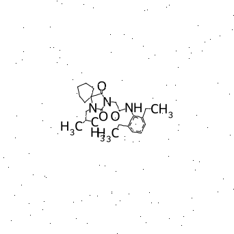 CCc1cccc(CC)c1NC(=O)CN1C(=O)N(CC(C)C)C2(CCCCC2)C1=O